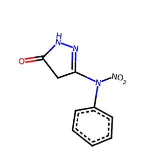 O=C1CC(N(c2ccccc2)[N+](=O)[O-])=NN1